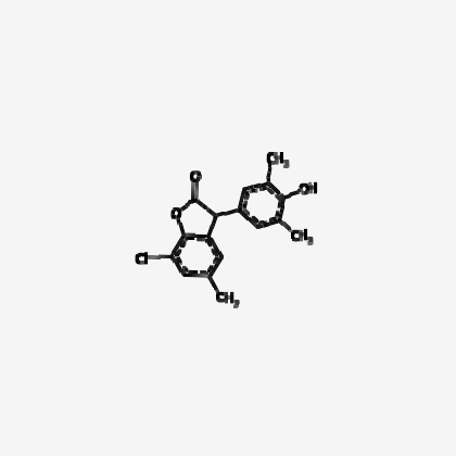 Cc1cc(Cl)c2c(c1)C(c1cc(C)c(O)c(C)c1)C(=O)O2